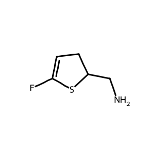 NCC1CC=C(F)S1